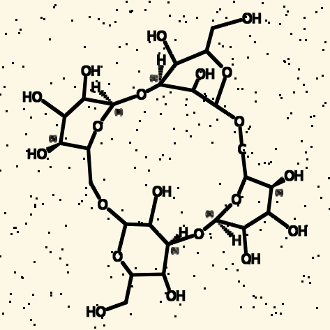 OCC1OC2OCC3O[C@H](O[C@H]4C(O)C(CO)OC(OCC5O[C@H](O[C@@H](C1O)C2O)C(O)C(O)[C@@H]5O)C4O)C(O)C(O)[C@@H]3O